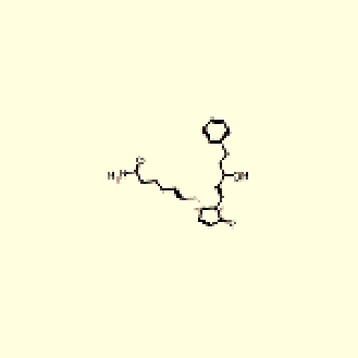 NC(=O)CCCC=CC[C@H]1C=CC(=O)[C@@H]1C=CC(O)CCc1ccccc1